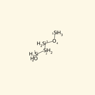 O[SiH2][SiH2][SiH2]O[SiH3]